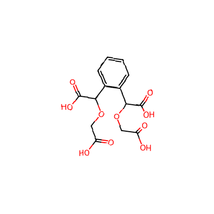 O=C(O)COC(C(=O)O)c1ccccc1C(OCC(=O)O)C(=O)O